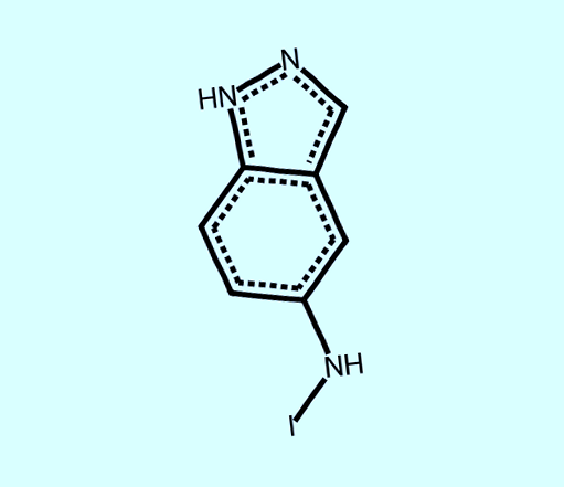 INc1ccc2[nH]ncc2c1